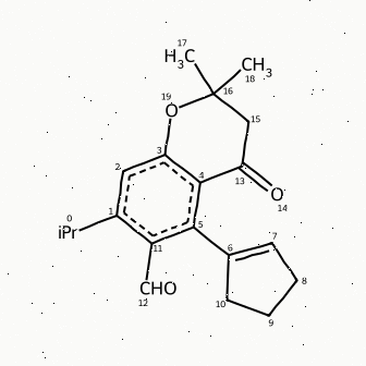 CC(C)c1cc2c(c(C3=CCCC3)c1C=O)C(=O)CC(C)(C)O2